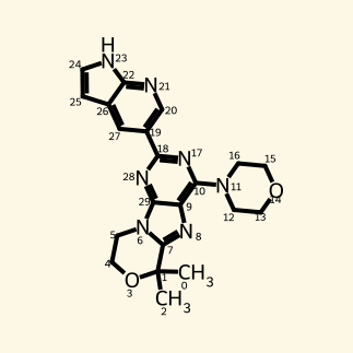 CC1(C)OCCn2c1nc1c(N3CCOCC3)nc(-c3cnc4[nH]ccc4c3)nc12